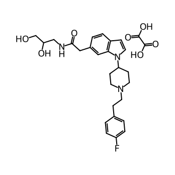 O=C(Cc1ccc2ccn(C3CCN(CCc4ccc(F)cc4)CC3)c2c1)NCC(O)CO.O=C(O)C(=O)O